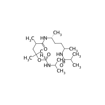 CC(C)NC(=O)OC(C)(C)CC(C)C(=O)N[C@H](C)CCC(C)NC(=O)C(C)C